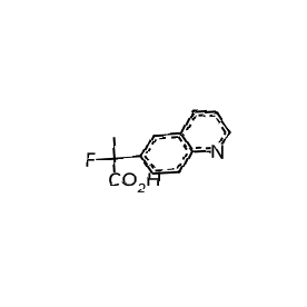 CC(F)(C(=O)O)c1ccc2ncccc2c1